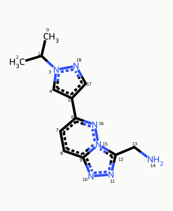 CC(C)n1cc(-c2ccc3nnc(CN)n3n2)cn1